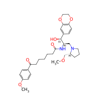 COC[C@H]1CCCN1C[C@@H](NC(=O)CCCCCC(=O)c1ccc(OC)cc1)[C@@H](O)c1ccc2c(c1)OCCO2